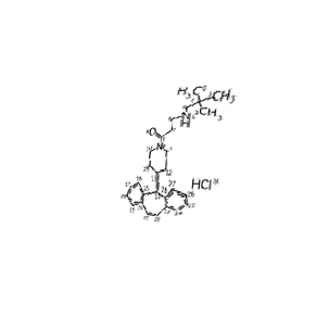 CC(C)(C)CNCCC(=O)N1CCC(=C2c3ccccc3C=Cc3ccccc32)CC1.Cl